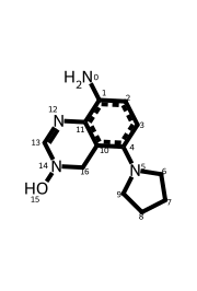 Nc1ccc(N2CCCC2)c2c1N=CN(O)C2